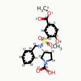 COC(=O)c1ccc(OC)c(S(=O)(=O)N(Cc2ccccc2)[C@@H]2CCN(C(=O)O)C2)c1